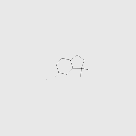 CC(=O)OC1CCC2CCC(C)(C)C2C1